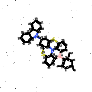 Cc1cc(C)c(B2c3cccc4c3N3c5c(cc(-n6c7ccccc7c7ccccc76)cc5Sc5cccc2c53)S4)c(C)c1